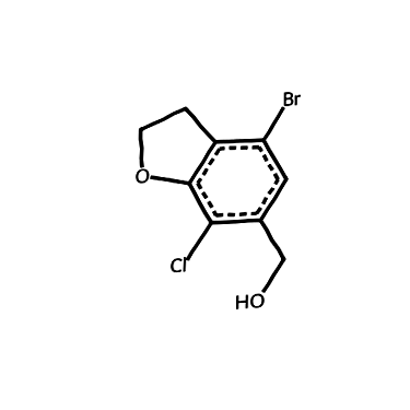 OCc1cc(Br)c2c(c1Cl)OCC2